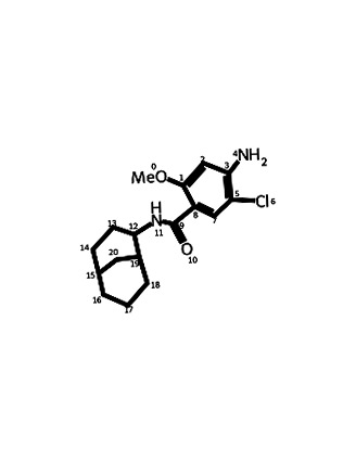 COc1cc(N)c(Cl)cc1C(=O)NC1CCC2CCCC1C2